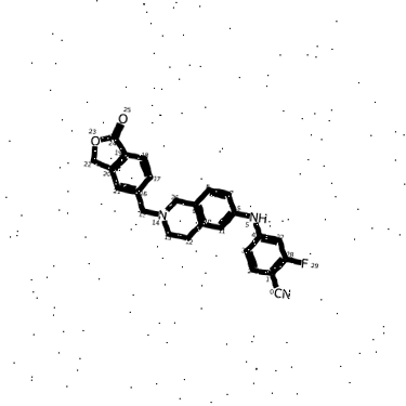 N#Cc1ccc(Nc2ccc3c(c2)CCN(Cc2ccc4c(c2)COC4=O)C3)cc1F